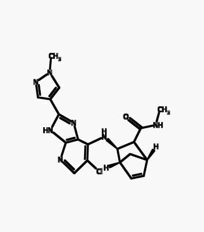 CNC(=O)C1[C@@H]2C=C[C@@H](C2)[C@H]1Nc1c(Cl)cnc2[nH]c(-c3cnn(C)c3)nc12